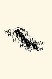 COc1cc(O)cc(C)c1C(=O)Oc1c(C)c(C)c(C(=O)Oc2cc(C)c(C(=O)Oc3c(C)c(C)c(C(=O)O)c(C)c3C)c(C)c2C)c(O)c1Br